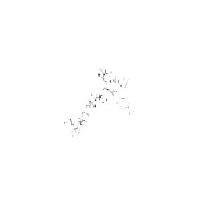 Cc1sc2c(c1C)C(c1ccc(Cl)cc1)=N[C@@H](CC(=O)N/N=C/c1ccc([SH](=O)=O)o1)c1nnc(C)n1-2